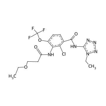 CCOCCC(=O)Nc1c(OC(F)(F)F)ccc(C(=O)Nc2nnnn2CC)c1Cl